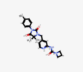 CC(C)(C)c1ccc(N2C(=O)N(Cc3ccnc(NC(=O)N4CCC4)c3)C(C)(C)C2=O)cc1